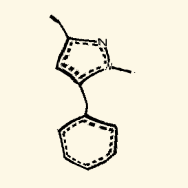 [CH2]n1nc(C)cc1-c1ccccc1